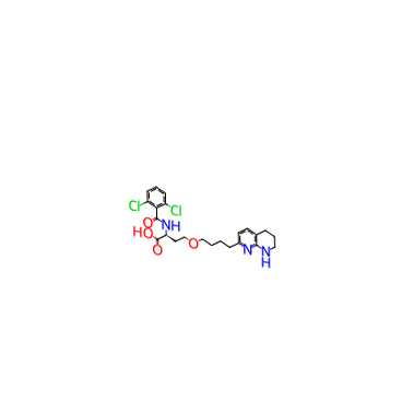 O=C(N[C@@H](CCOCCCCc1ccc2c(n1)NCCC2)C(=O)O)c1c(Cl)cccc1Cl